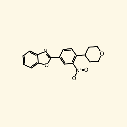 O=[N+]([O-])c1cc(-c2nc3ccccc3o2)ccc1C1CCOCC1